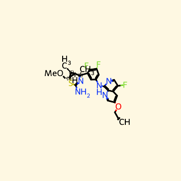 C#CCOc1cnc2c(Nc3cc(F)c(F)c([C@@]4(C)N=C(N)S[C@]5(COC)[C@H]4[C@@H]5C)c3)ncc(F)c2c1